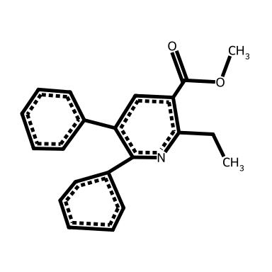 CCc1nc(-c2ccccc2)c(-c2ccccc2)cc1C(=O)OC